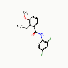 CCc1c(OC)cccc1C(=O)Nc1ccc(F)cc1F